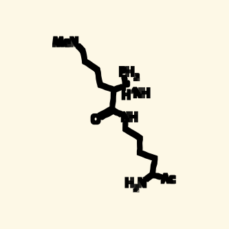 CNCCCCC(C(=O)NCCCCC(N)C(C)=O)[PH](=N)P